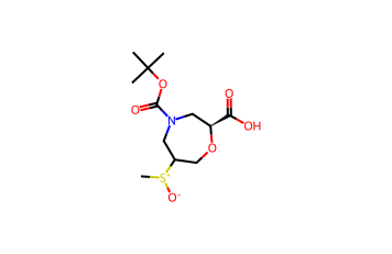 C[S+]([O-])C1CO[C@H](C(=O)O)CN(C(=O)OC(C)(C)C)C1